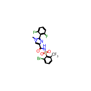 Cn1cc(C(=O)NS(=O)(=O)c2c(Br)cccc2C(F)(F)F)nc1-c1c(F)cccc1F